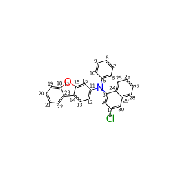 Clc1cc(N(c2ccccc2)c2ccc3c(c2)oc2ccccc23)c2ccccc2c1